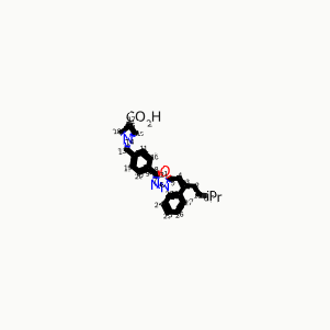 CC(C)CCC(=Cc1nnc(-c2ccc(CN3CC(C(=O)O)C3)cc2)o1)c1ccccc1